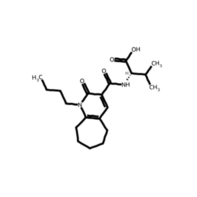 CCCCn1c2c(cc(C(=O)N[C@H](C(=O)O)C(C)C)c1=O)CCCCC2